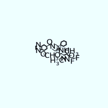 COc1cc(C(=O)N2CC[C@@H](NC(=O)c3c(C)c(OC(F)F)nn3C)[C@@H](c3ccccc3)C2)cc2nccnc12